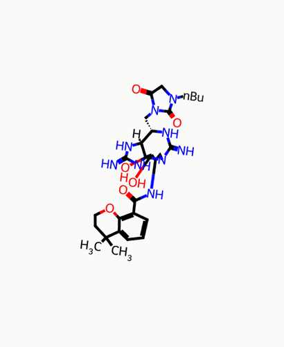 CCCCN1CC(=O)N(C[C@@H]2NC(=N)N3CC(NC(=O)c4cccc5c4OCCC5(C)C)C(O)(O)C34NC(=N)N[C@@H]24)C1=O